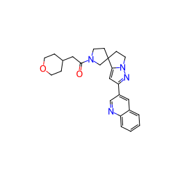 O=C(CC1CCOCC1)N1CCC2(CCn3nc(-c4cnc5ccccc5c4)cc32)C1